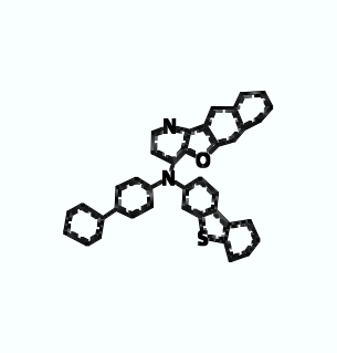 c1ccc(-c2ccc(N(c3ccc4c(c3)sc3ccccc34)c3ccnc4c3oc3cc5ccccc5cc34)cc2)cc1